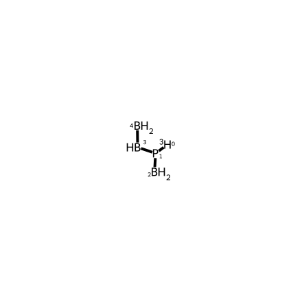 [3H]P(B)BB